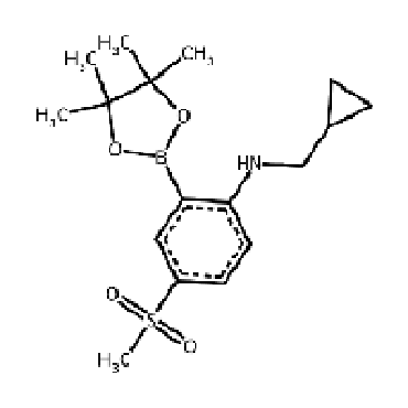 CC1(C)OB(c2cc(S(C)(=O)=O)ccc2NCC2CC2)OC1(C)C